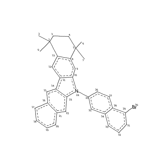 CC1(C)CCC(C)(C)c2cc3c(cc21)c1cc2ccccc2cc1n3-c1ccc2c(Br)cccc2c1